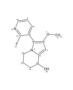 COc1cc2n(c1-c1cccnc1F)CCCC2O